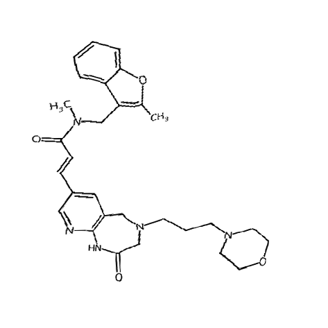 Cc1oc2ccccc2c1CN(C)C(=O)C=Cc1cnc2c(c1)CN(CCCN1CCOCC1)CC(=O)N2